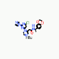 CCCCN1CCN(c2cc(Cl)nc(-n3ccnc3)n2)C(CC(=O)NC(C)c2ccc3c(c2)OCCO3)C1